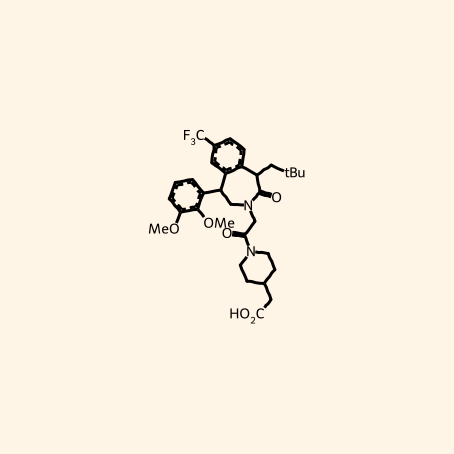 COc1cccc(C2CN(CC(=O)N3CCC(CC(=O)O)CC3)C(=O)C(CC(C)(C)C)c3ccc(C(F)(F)F)cc32)c1OC